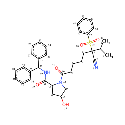 CC(C)C(C#N)(CCCCC(=O)N1CC(O)CC1C(=O)NC(c1ccccc1)c1ccccc1)S(=O)(=O)c1ccccc1